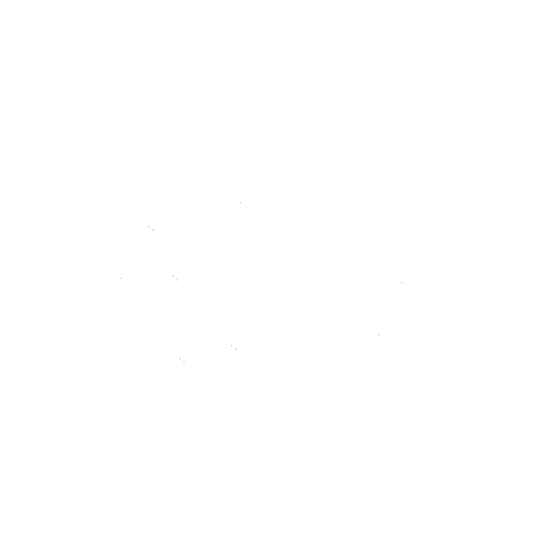 CCN1CCN(Cc2cc(F)c(-n3cnc(-c4nc(NC5CCN(S(C)(=O)=O)CC5)ncc4C(F)(F)F)c3)c(F)c2)CC1